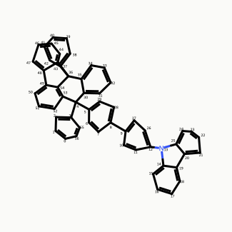 c1ccc(C2(c3ccc(-c4ccc(-n5c6ccccc6c6ccccc65)cc4)cc3)c3ccccc3C3(c4ccccc4)c4ccccc4-c4cccc2c43)cc1